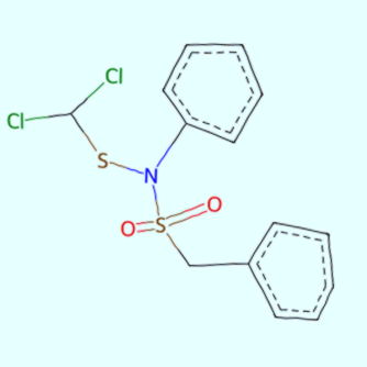 O=S(=O)(Cc1ccccc1)N(SC(Cl)Cl)c1ccccc1